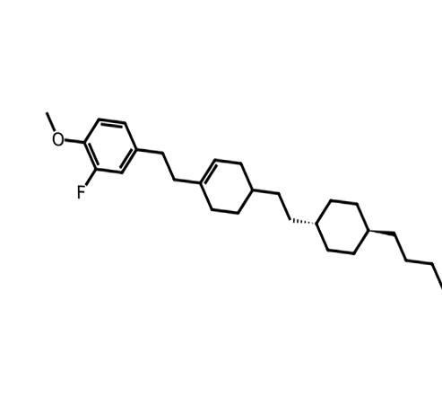 CCCC[C@H]1CC[C@H](CCC2CC=C(CCc3ccc(OC)c(F)c3)CC2)CC1